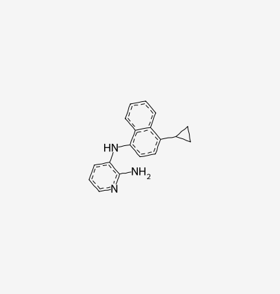 Nc1ncccc1Nc1ccc(C2CC2)c2ccccc12